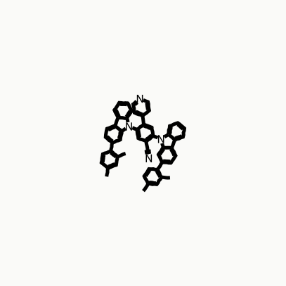 Cc1ccc(-c2ccc3c4ccccc4n(-c4cc(-c5ccncc5)c(-n5c6ccccc6c6ccc(-c7ccc(C)cc7C)cc65)cc4C#N)c3c2)c(C)c1